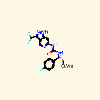 COC[C@@H](NC(=O)Nc1cc2[nH]nc(C(F)F)c2cn1)c1ccc(F)cc1